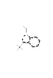 CCn1nc(C(C)(C)C)c2ccccc21